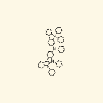 c1ccc(N(c2ccc3c(c2)C(c2ccccc2)(c2ccccc2)c2ccccc2-3)c2ccc3c4c5ccccc5n(-c5ccccc5)c4n(-c4ccccc4)c3c2)cc1